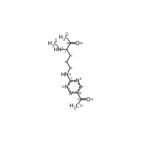 CNC(CCCNc1ncc(C(C)=O)cn1)C(C)=O